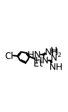 CCC(NC(=N)NC(=N)N)c1ccc(Cl)cc1